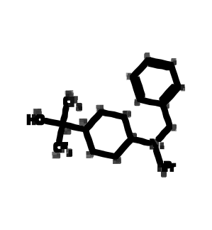 CCCN(Cc1ccccc1)C1CCC(C(O)(C(F)(F)F)C(F)(F)F)CC1